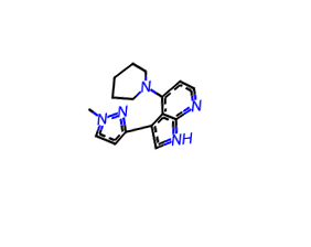 Cn1ccc(-c2c[nH]c3nccc(N4CCCCC4)c23)n1